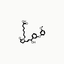 COc1cccc(Oc2cccc(C(O)C=CC3CCC(=O)N3CCCCCCC(=O)O)c2)c1